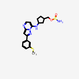 NS(=O)OCC1CCC(Nc2ccnc3cc(-c4cccc(SC(F)(F)F)c4)nn23)C1